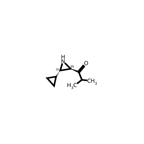 CC(C)C(=O)[C@@H]1N[C@H]1C1CC1